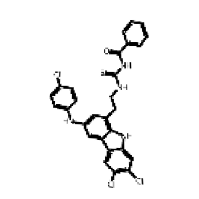 O=C(NC(=S)NCCc1cc(Nc2ccc(Cl)cc2)cc2c1[nH]c1cc(Cl)c(Cl)cc12)c1ccccc1